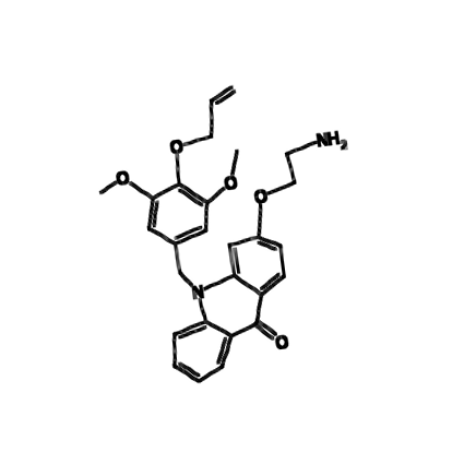 C=CCOc1c(OC)cc(Cn2c3ccccc3c(=O)c3ccc(OCCN)cc32)cc1OC